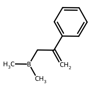 C=C(CB(C)C)c1ccccc1